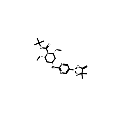 C=C1OB(c2cnc(N[C@H]3C[C@@H](CC)N(C(=O)OC(C)(C)C)[C@@H](CC)C3)nc2)OC1(C)C